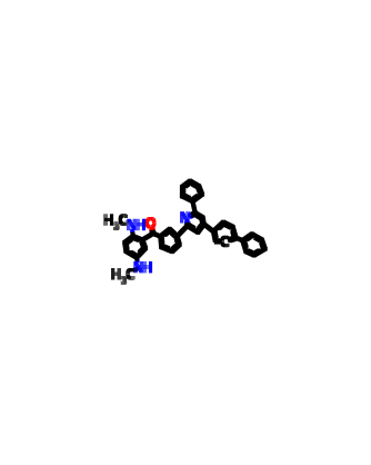 CNc1ccc(NC)c(C(=O)c2cccc(-c3cc(-c4ccc(-c5ccccc5)cc4)cc(-c4ccccc4)n3)c2)c1